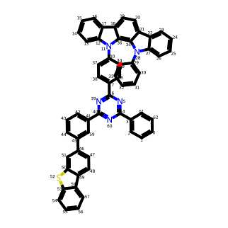 c1ccc(-c2nc(-c3ccc(-n4c5ccccc5c5ccc6c7ccccc7n(-c7ccccc7)c6c54)cc3)nc(-c3cccc(-c4ccc5c(c4)sc4ccccc45)c3)n2)cc1